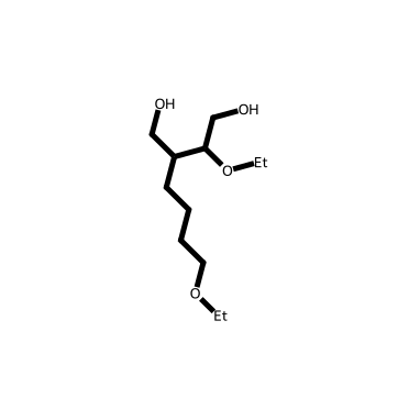 CCOCCCCC(CO)C(CO)OCC